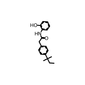 CCC(C)(C)c1ccc(CC(=O)Nc2ccccc2O)cc1